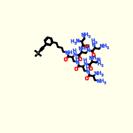 C[Si](C)(C)C#Cc1cccc(CCCCNC(=O)C(CNC(=O)C(CNC(=O)C(N)CN)NC(=O)C(N)CN)NC(=O)C(CNC(=O)C(N)CN)NC(=O)C(N)CN)c1